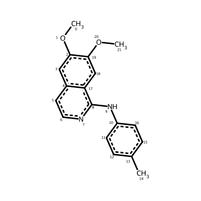 COc1cc2ccnc(Nc3ccc(C)cc3)c2cc1OC